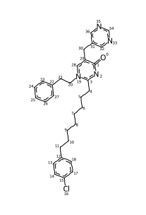 O=c1nc(CCCCCCCCc2ccc(Cl)cc2)n(CCc2ccccc2)cc1Cc1cncnc1